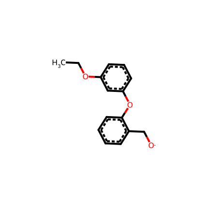 CCOc1cccc(Oc2ccccc2C[O])c1